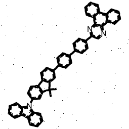 CC1(C)c2cc(-c3ccc(-c4ccc(-c5cnc6c7ccccc7c7ccccc7c6n5)cc4)cc3)ccc2-c2ccc(-n3c4ccccc4c4ccccc43)cc21